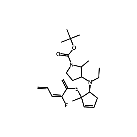 C=C/C=C(/F)C(=C)SC1(C)C=CC[C@@H]1N(CC)C1CCN(C(=O)OC(C)(C)C)C1C